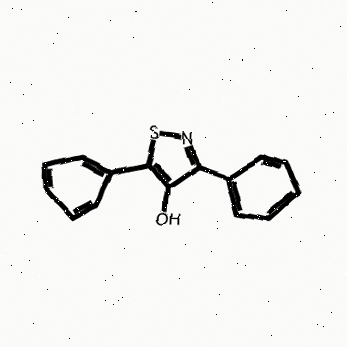 Oc1c(-c2ccccc2)nsc1-c1ccccc1